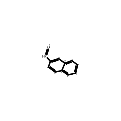 O=[PH]c1ccc2ccccc2c1